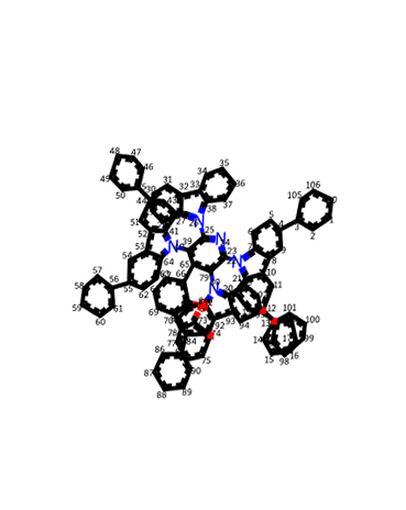 c1ccc(-c2ccc3c(c2)c2cc(-c4ccccc4)ccc2n3-c2nc(-n3c4ccccc4c4ccccc43)c(-n3c4ccc(-c5ccccc5)cc4c4cc(-c5ccccc5)ccc43)c(-c3cccc4c3oc3ccccc34)c2-n2c3ccc(-c4ccccc4)cc3c3cc(-c4ccccc4)ccc32)cc1